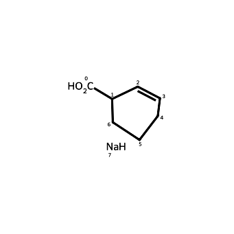 O=C(O)C1C=CCCC1.[NaH]